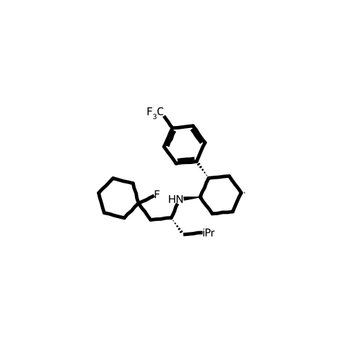 CC(C)C[C@H](CC1(F)CCCCC1)N[C@@H]1CC[CH]C[C@H]1c1ccc(C(F)(F)F)cc1